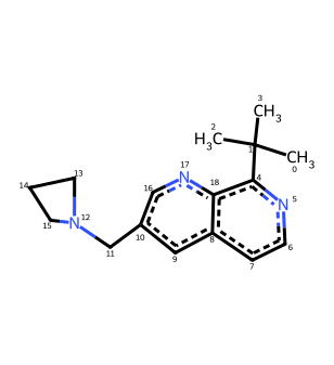 CC(C)(C)c1nccc2cc(CN3CCC3)cnc12